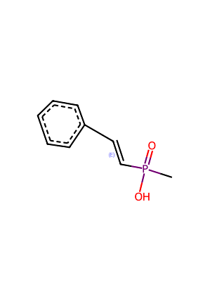 CP(=O)(O)/C=C/c1ccccc1